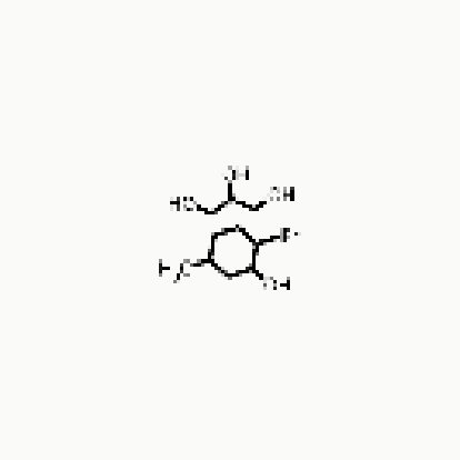 CC1CCC(C(C)C)C(O)C1.OCC(O)CO